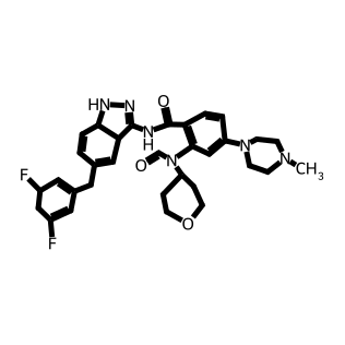 CN1CCN(c2ccc(C(=O)NC3=NNC4C=CC(CC5=CC(F)CC(F)=C5)=CC34)c(N(C=O)C3CCOCC3)c2)CC1